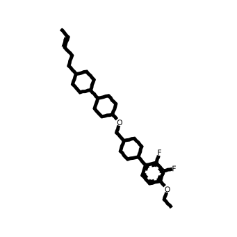 C/C=C/CCC1CCC(C2CCC(OCC3CCC(c4ccc(OCC)c(F)c4F)CC3)CC2)CC1